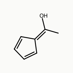 CC(O)=C1C=CC=C1